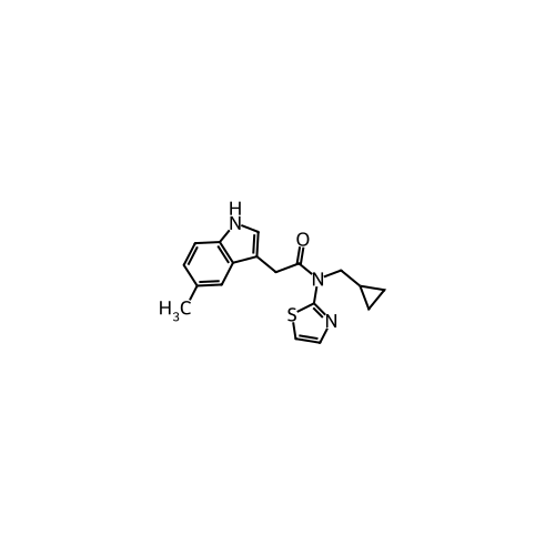 Cc1ccc2[nH]cc(CC(=O)N(CC3CC3)c3nccs3)c2c1